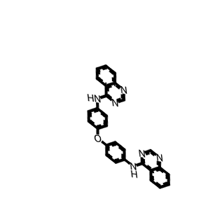 c1ccc2c(Nc3ccc(Oc4ccc(Nc5ncnc6ccccc56)cc4)cc3)ncnc2c1